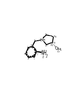 Nc1ccccc1CN1CC[C@H](O)C1